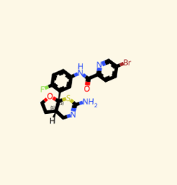 NC1=NC[C@@H]2CCO[C@]2(c2cc(NC(=O)c3ccc(Br)cn3)ccc2F)S1